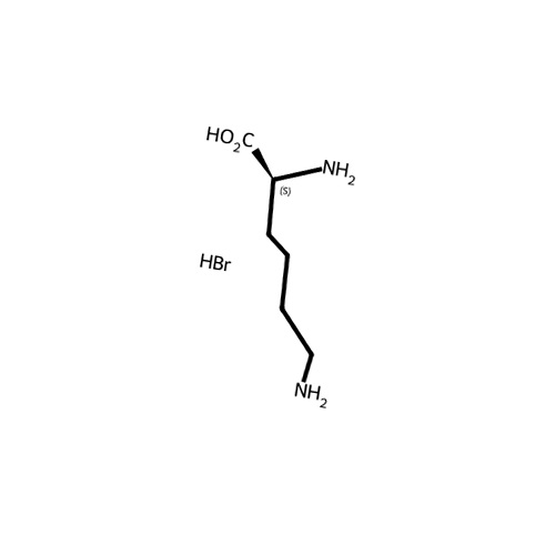 Br.NCCCC[C@H](N)C(=O)O